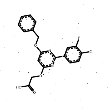 O=C(O)COc1cc(OCc2ccccc2)nc(-c2ccc(Cl)c(F)c2)n1